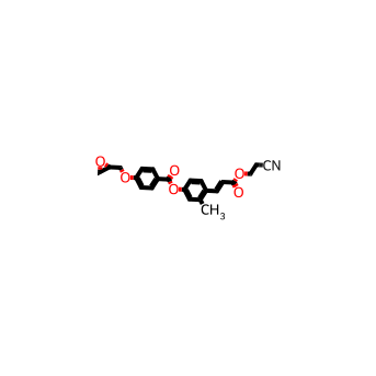 Cc1cc(OC(=O)c2ccc(OCC3CO3)cc2)ccc1/C=C/C(=O)OCCC#N